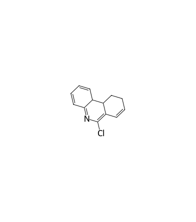 ClC1=C2C=CCCC2C2C=CC=CC2=N1